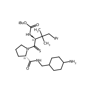 CC(C)COC(=O)N[C@H](C(=S)N1CCC[C@H]1C(=O)NCC1CCC(N)CC1)C(C)(C)CC(C)C